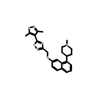 Cc1noc(C)c1-c1nc(COc2ccc3cccc(C4CCN(C)CC4)c3c2)no1